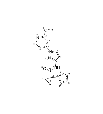 COc1cc(-n2ccc(NC(=O)C3(c4cccs4)CC3)n2)ccn1